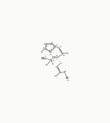 CC(=CC[C@H](O[Si](C)(C)C(C)(C)C)C(C)=Cc1csc(C)n1)CBr